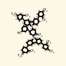 N#Cc1cccc(-c2cc(-n3c4ccc(-c5ccc(C(F)(F)F)cc5C(F)(F)F)cc4c4cc(-c5ccc(C(F)(F)F)cc5C(F)(F)F)ccc43)c(C(F)(F)F)cc2-n2c3ccc(-c4ccc(C(F)(F)F)cc4C(F)(F)F)cc3c3cc(-c4ccc(C(F)(F)F)cc4C(F)(F)F)ccc32)c1